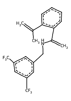 C=C(C)c1ccccc1C(=C)NCc1cc(C(F)(F)F)cc(C(F)(F)F)c1